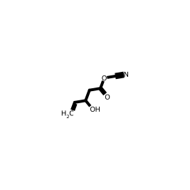 C=CC(O)CC(=O)OC#N